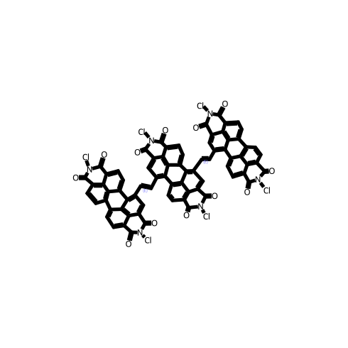 O=C1c2ccc3c4ccc5c6c(cc(/C=C/c7cc8c9c(ccc%10c%11c(/C=C/c%12cc%13c%14c(ccc%15c%16ccc%17c%18c(ccc(c%12c%14%15)c%18%16)C(=O)N(Cl)C%17=O)C(=O)N(Cl)C%13=O)cc%12c%13c(ccc(c7c9%10)c%13%11)C(=O)N(Cl)C%12=O)C(=O)N(Cl)C8=O)c(c7ccc(c2c37)C(=O)N1Cl)c64)C(=O)N(Cl)C5=O